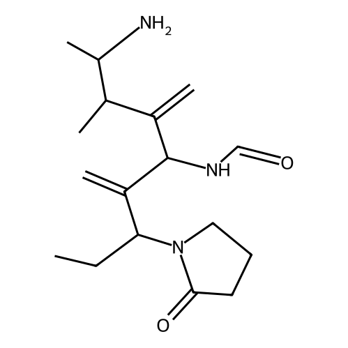 C=C(C(NC=O)C(=C)C(CC)N1CCCC1=O)C(C)C(C)N